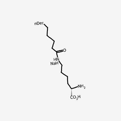 CCCCCCCCCCCCCCC(=O)NCCCC[C@H](N)C(=O)O.[NaH]